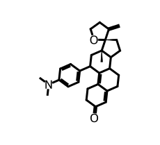 C=C1CCO[C@]12CCC1C3CCC4=CC(=O)CCC4=C3C(c3ccc(N(C)C)cc3)C[C@@]12C